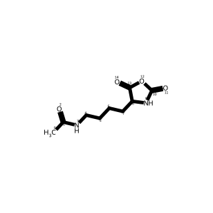 CC(=O)NCCCCC1NC(=O)OC1=O